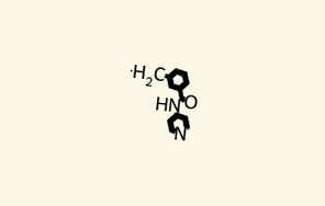 [CH2]c1cccc(C(=O)Nc2ccncc2)c1